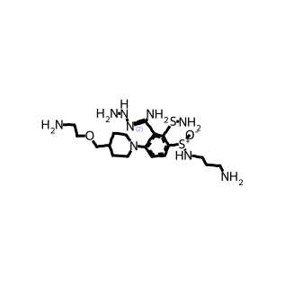 NCCCN[S+]([O-])c1ccc(N2CCC(COCCN)CC2)c(/C(N)=N/NN)c1SN